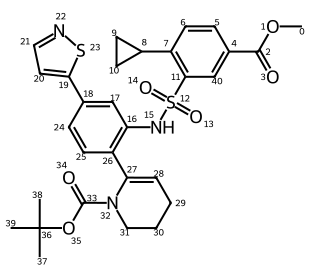 COC(=O)c1ccc(C2CC2)c(S(=O)(=O)Nc2cc(-c3ccns3)ccc2C2=CCCCN2C(=O)OC(C)(C)C)c1